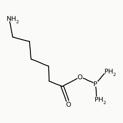 NCCCCCC(=O)OP(P)P